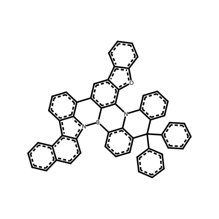 c1ccc(C2(c3ccccc3)c3ccccc3N3c4c(cccc42)B2c4c(cc5c(oc6ccccc65)c43)-c3cccc4c5c6ccccc6ccc5n2c34)cc1